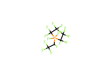 FC(C(F)(F)F)P(F)(F)(C(F)(F)C(F)(F)F)C(F)(F)C(F)(F)F